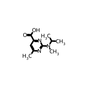 Cc1cc(C(=O)O)nc(N(C)C(C)C)n1